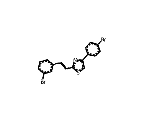 Brc1ccc(-c2csc(C=Cc3cccc(Br)c3)n2)cc1